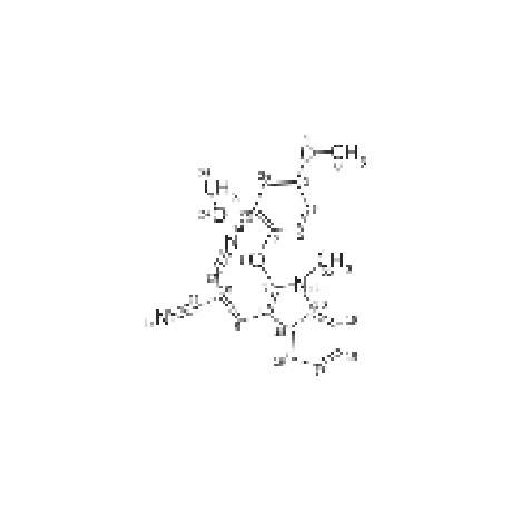 COc1ccc(Oc2c(C=C(C#N)C#N)c3ccccc3n2C)c(OC)c1